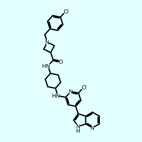 O=C(NC1CCC(Nc2cc(-c3c[nH]c4ncccc34)cc(Cl)n2)CC1)C1CN(Cc2ccc(Cl)cc2)C1